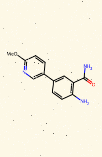 COc1ccc(-c2ccc(N)c(C(N)=O)c2)cn1